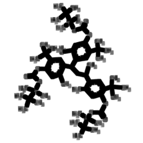 Cc1cc(OC(=O)O[Si](C)(C)C(C)(C)C)c(C(C)(C)C)cc1C(C)CC(c1cc(C(C)(C)C)c(OC(=O)O[Si](C)(C)C(C)(C)C)cc1C)c1cc(C(C)(C)C)c(OC(=O)O[Si](C)(C)C(C)(C)C)cc1C